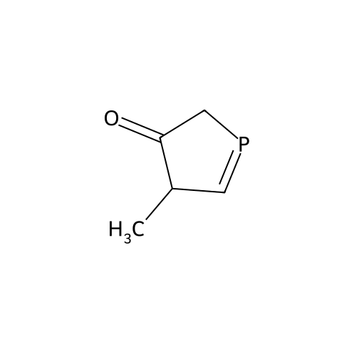 CC1C=PCC1=O